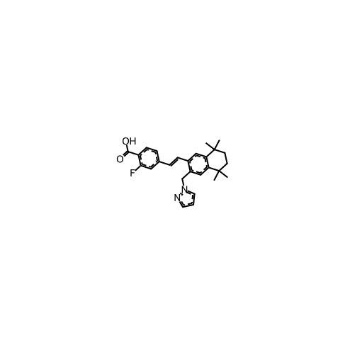 CC1(C)CCC(C)(C)c2cc(Cn3cccn3)c(/C=C/c3ccc(C(=O)O)c(F)c3)cc21